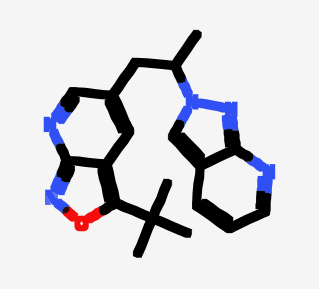 CC(Cc1cnc2noc(C(C)(C)C)c2c1)n1cc2cccnc2n1